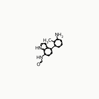 Cc1c(N)cccc1-c1ccc(NC=O)c2[nH]ccc12